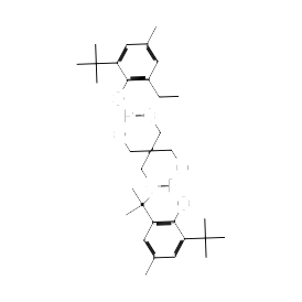 CCc1cc(C)cc(C(C)(C)C)c1OP1OCC2(CO1)COP(Oc1c(C(C)(C)C)cc(C)cc1C(C)(C)C)OC2